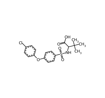 CC(C)(C)C(NS(=O)(=O)c1ccc(Oc2ccc(Cl)cc2)cc1)C(=O)O